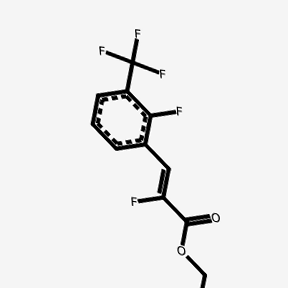 CCOC(=O)C(F)=Cc1cccc(C(F)(F)F)c1F